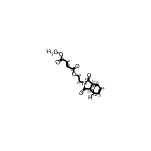 COC(=O)/C=C/C(=O)OCCN1C(=O)C2C3C=C[C@@H](O3)C2C1=O